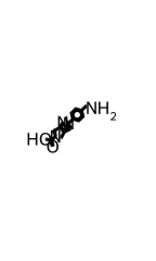 NCc1ccc(-n2cc3c(n2)CN(C(=O)O)C3)cc1